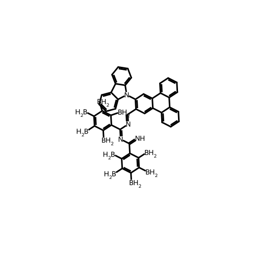 Bc1c(B)c(B)c(C(=N)/N=C(\N=C\c2cc3c4ccccc4c4ccccc4c3cc2-n2c3ccccc3c3ccccc32)c2c(B)c(B)c(B)c(B)c2B)c(B)c1B